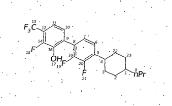 CCCC1CCC(c2ccc(-c3ccc(C(F)(F)F)c(F)c3O)c(F)c2F)CC1